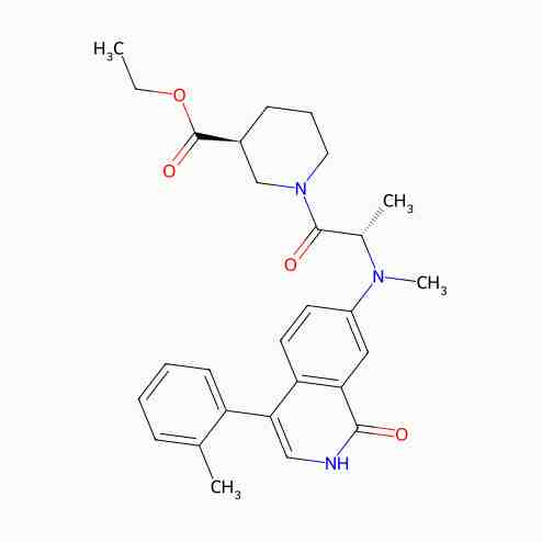 CCOC(=O)[C@H]1CCCN(C(=O)[C@H](C)N(C)c2ccc3c(-c4ccccc4C)c[nH]c(=O)c3c2)C1